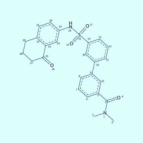 CN(C)C(=O)c1cccc(-c2cccc(S(=O)(=O)Nc3ccc4c(c3)C(=O)CCC4)c2)c1